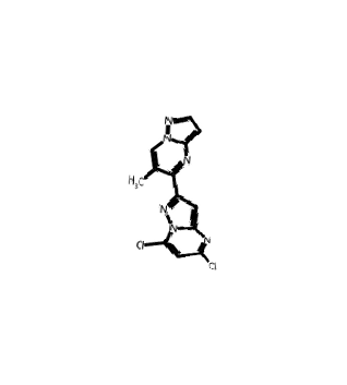 Cc1cn2nccc2nc1-c1cc2nc(Cl)cc(Cl)n2n1